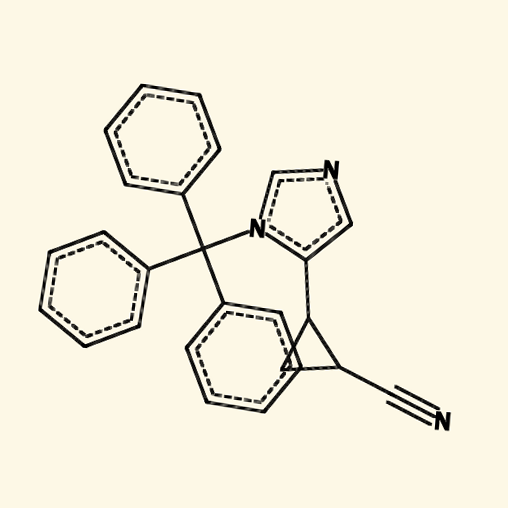 N#CC1CC1c1cncn1C(c1ccccc1)(c1ccccc1)c1ccccc1